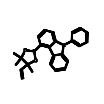 C=CC1(C)OB(c2cccc3c2c2ccccc2n3-c2ccccc2)OC1(C)C